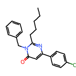 CCCCCc1nc(-c2ccc(Cl)cc2)cc(=O)n1Cc1ccccc1